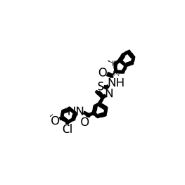 COc1ccc(NC(=O)c2cccc(-c3csc(NC(=O)[C@@H]4Cc5ccccc5[C@H]4C)n3)c2)cc1Cl